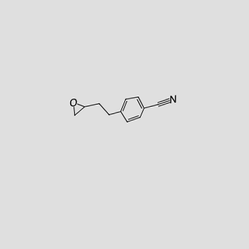 N#Cc1ccc(CCC2CO2)cc1